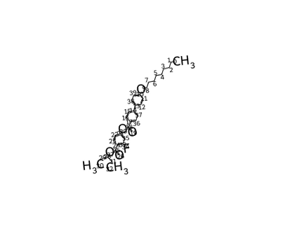 CCCCCCCCCOc1ccc(-c2ccc(C(=O)Oc3ccc(C(=O)OC(CC)CC)c(F)c3)cc2)cc1